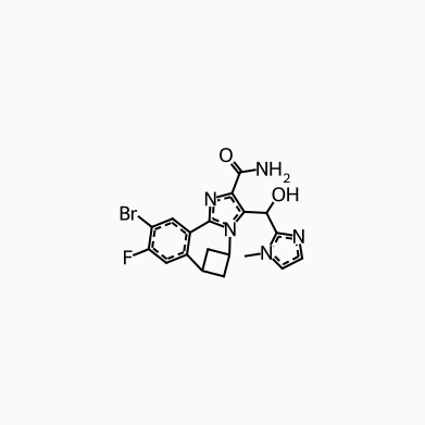 Cn1ccnc1C(O)c1c(C(N)=O)nc2n1C1CC(C1)c1cc(F)c(Br)cc1-2